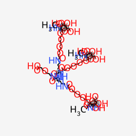 CCC(=O)N[C@H]1[C@H](OCCOCCOCCOCC(=O)NCCCC[C@H](NC(=O)[C@H](CCCCNC(=O)COCCOCCOCCO[C@@H]2O[C@H](CO)[C@H](O)[C@H](O)[C@H]2NC(C)=O)NC(=O)COCCOCCOCCO[C@@H]2O[C@H](CO)[C@H](O)[C@H](O)[C@H]2NC(C)=O)C(=O)NCCCOCCC(=O)O)O[C@H](CO)[C@H](O)[C@@H]1O